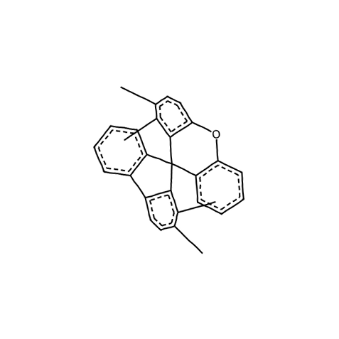 Cc1ccc2c(c1C)C1(c3ccccc3O2)c2ccccc2-c2ccc(C)c(C)c21